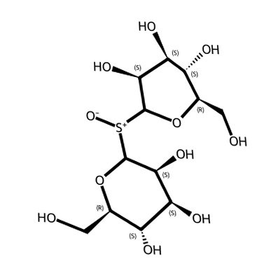 [O-][S+](C1O[C@H](CO)[C@@H](O)[C@H](O)[C@@H]1O)C1O[C@H](CO)[C@@H](O)[C@H](O)[C@@H]1O